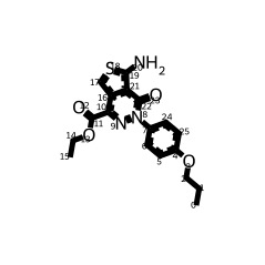 CCCOc1ccc(-n2nc(C(=O)OCC)c3csc(N)c3c2=O)cc1